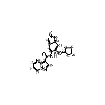 Cn1cc2cc(NC(=O)c3cnn4cccnc34)c(OC3CCCC3)cc2n1